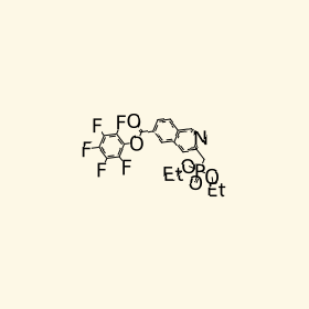 CCOP(=O)(Cc1cc2cc(C(=O)Oc3c(F)c(F)c(F)c(F)c3F)ccc2cn1)OCC